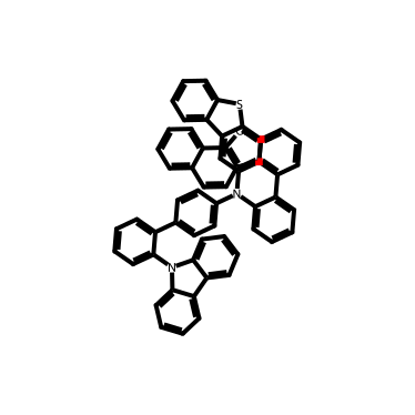 c1ccc(N(c2ccc(-c3ccccc3-n3c4ccccc4c4ccccc43)cc2)c2ccc3sc4ccccc4c3c2)c(-c2cccc3oc4c5ccccc5ccc4c23)c1